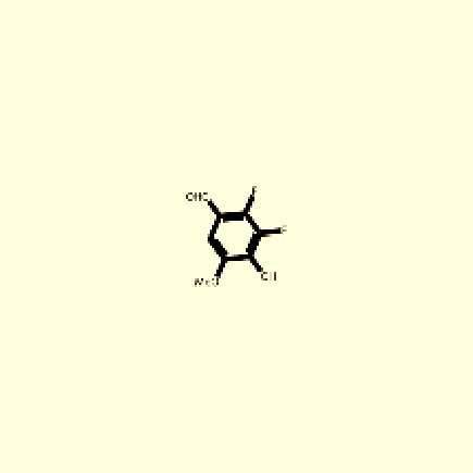 COc1cc(C=O)c(F)c(F)c1O